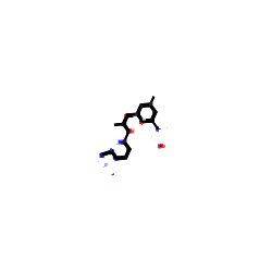 Cc1cc([C@@H](C)NC(=O)O)c2oc(-c3ccc4c(cnn4C)n3)c(C)c(=O)c2c1